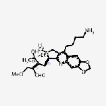 CC[C@](C)(O)C(/C=C1/c2nc3cc4c(cc3c(CCCCN)c2CN1C)OCO4)=C(/C=O)COC